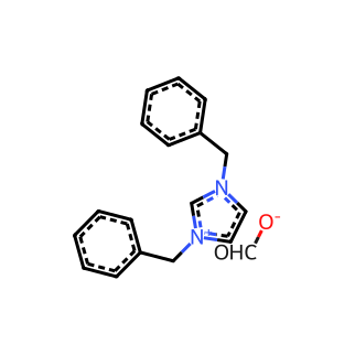 O=C[O-].c1ccc(Cn2cc[n+](Cc3ccccc3)c2)cc1